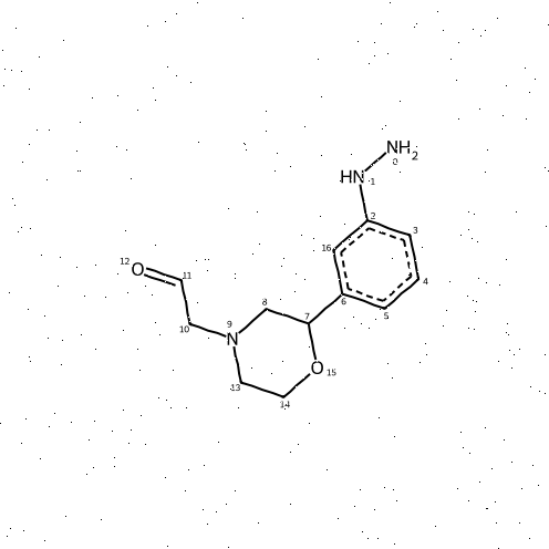 NNc1cccc(C2CN(CC=O)CCO2)c1